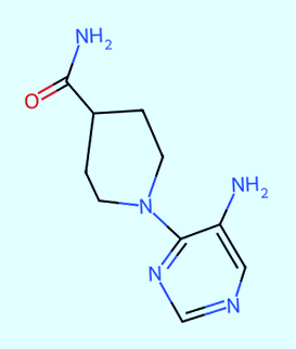 NC(=O)C1CCN(c2ncncc2N)CC1